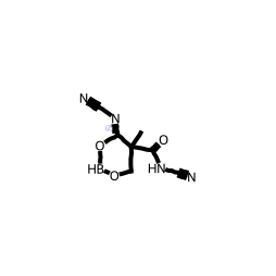 CC1(C(=O)NC#N)COBO/C1=N\C#N